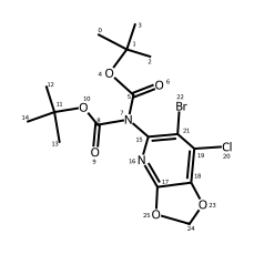 CC(C)(C)OC(=O)N(C(=O)OC(C)(C)C)c1nc2c(c(Cl)c1Br)OCO2